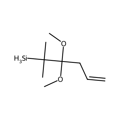 C=CCC(OC)(OC)C(C)(C)[SiH3]